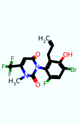 C=CCc1c(O)c(Br)cc(F)c1-n1c(=O)cc(C(F)(F)F)n(C)c1=O